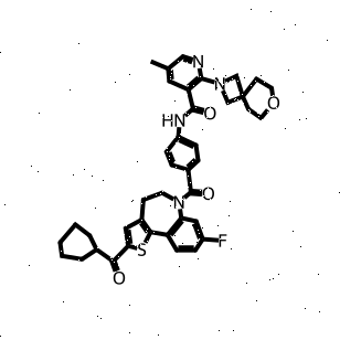 Cc1cnc(N2CC3(CCOCC3)C2)c(C(=O)Nc2ccc(C(=O)N3CCc4cc(C(=O)C5CCCCC5)sc4-c4ccc(F)cc43)cc2)c1